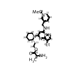 CCc1cnn2c(NCc3ccc[n+](OC)c3)cc(N3CCCC[C@H]3CCOC(=O)[C@@H](C)N)nc12